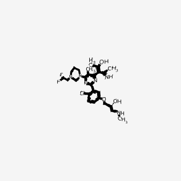 CNC[C@@H](O)COc1ccc(Cl)c(-c2nc(/C(C(C)=N)=C(\C)O)c(C)c(N3CCCN(CC(F)F)C3)n2)c1